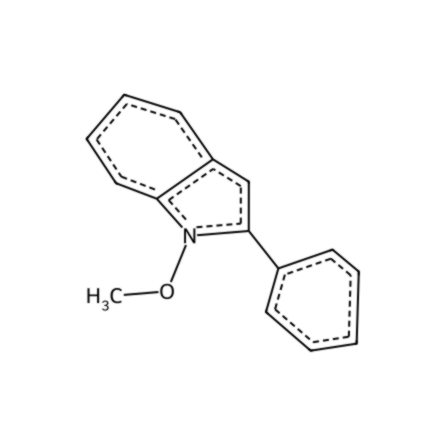 COn1c(-c2ccccc2)cc2ccccc21